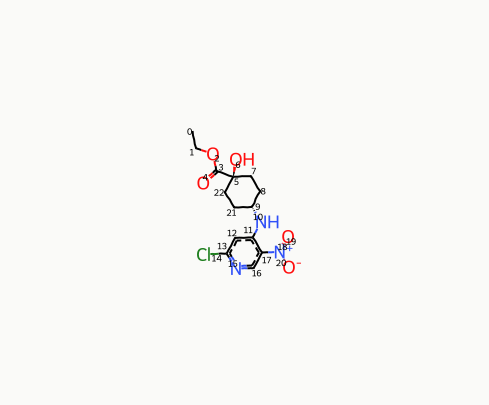 CCOC(=O)[C@]1(O)CC[C@H](Nc2cc(Cl)ncc2[N+](=O)[O-])CC1